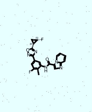 Cc1c(F)cc(-c2noc([C@H]3C[C@@H]3F)n2)cc1NC(=O)c1cnc2ccccn12